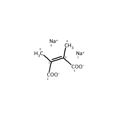 C/C(C(=O)[O-])=C(\C)C(=O)[O-].[Na+].[Na+]